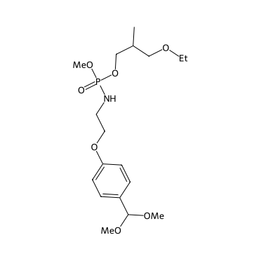 CCOCC(C)COP(=O)(NCCOc1ccc(C(OC)OC)cc1)OC